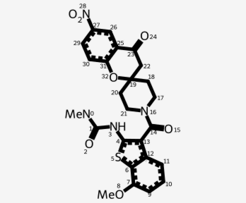 CNC(=O)Nc1sc2c(OC)cccc2c1C(=O)N1CCC2(CC1)CC(=O)c1cc([N+](=O)[O-])ccc1O2